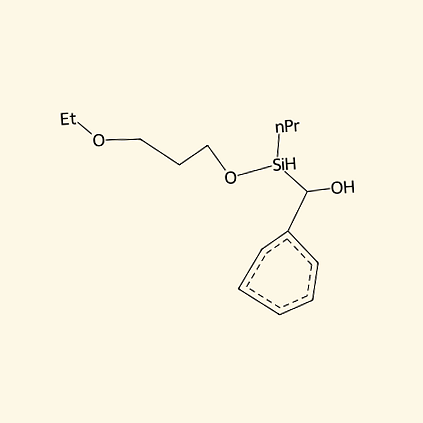 CCC[SiH](OCCCOCC)C(O)c1ccccc1